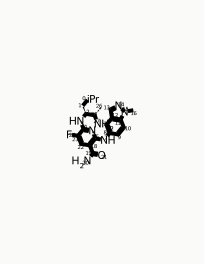 CC(C)C[C@@H](Nc1nc(Nc2ccc3c(cnn3C)c2)c(C(N)=O)cc1F)[C@H](C)N